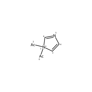 CC(=O)[N+]1(C(C)=O)C=CN=C1